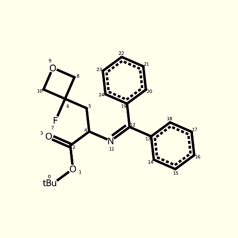 CC(C)(C)OC(=O)C(CC1(F)COC1)N=C(c1ccccc1)c1ccccc1